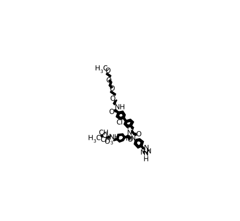 COCCOCCOCCOCCNC(=O)c1ccc(-c2ccc(C[C@H](NC(=O)C3CCC(CNC(=O)OC(C)(C)C)CC3)C(=O)Nc3ccc(-c4nn[nH]n4)cc3)cc2)c(Cl)c1